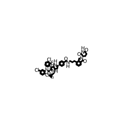 Cc1ccc(Cl)cc1NC(=O)[C@H]1[C@@H](c2cccc(Cl)c2F)[C@@H]2N[C@@H](c3ccc(C(=O)NCCCc4cccc5c4CN(C4CCC(=O)NC4=O)C5=O)cc3)C[C@@H]2N1CC1CC1